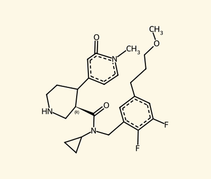 COCCCc1cc(F)c(F)c(CN(C(=O)[C@H]2CNCCC2c2ccn(C)c(=O)c2)C2CC2)c1